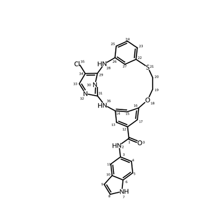 O=C(Nc1ccc2[nH]ccc2c1)c1cc2cc(c1)OCCSc1cccc(c1)Nc1nc(ncc1Cl)N2